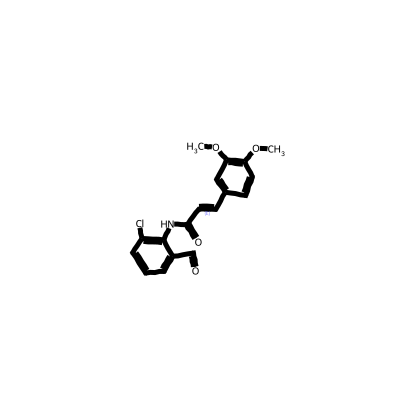 COc1ccc(/C=C/C(=O)Nc2c(Cl)cccc2C=O)cc1OC